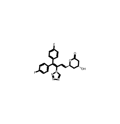 O=C1C[C@H](O)C[C@@H](/C=C/C(=C(c2ccc(F)cc2)c2ccc(F)cc2)n2cnnn2)O1